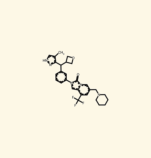 Cc1c[nH]nc1C(c1cccc(-n2cc3c(C(F)(F)F)cc(CN4CCCCC4)cn3c2=O)c1)C1COC1